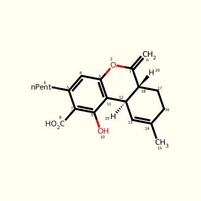 C=C1Oc2cc(CCCCC)c(C(=O)O)c(O)c2[C@@H]2C=C(C)CC[C@@H]12